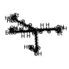 CCC1O[C@@H](OCCCCC(=O)NCCCNC(=O)CCOCC(NC(=O)CCCCCCCCCCC(=O)N2C[C@H](O)C[C@H]2COP(C)(=O)O)(OCCC(=O)NCCCNC(=O)CCCCO[C@@H]2OC(CC)[C@H](C)C(O)C2O)OCCC(=O)NCCCNC(=O)CCCCO[C@@H]2OC(CC)[C@H](C)C(O)[C@@H]2O)C(O)C(O)[C@H]1C